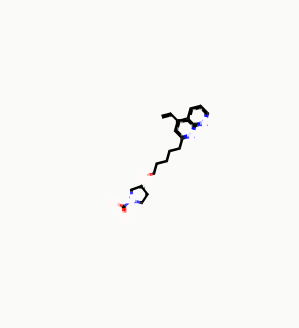 C=Cc1cc(CCCCCO[C@@H]2CCN(C(=O)OC(C)(C)C)C2)nc2ncccc12